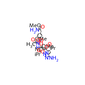 COC(=O)[C@H](C)NP(=O)(OC[C@@](C#N)(OC)[C@@H](OC(=O)C(C)C)[C@@H](OC(=O)C(C)C)c1ccc2c(N)ncnn12)Oc1ccc(C[C@H](N)C(=O)OC)cc1